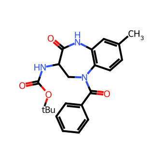 Cc1ccc2c(c1)NC(=O)C(NC(=O)OC(C)(C)C)CN2C(=O)c1ccccc1